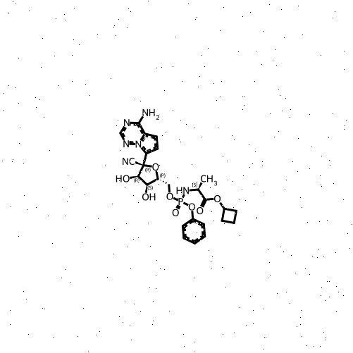 C[C@H](NP(=O)(OC[C@H]1O[C@@](C#N)(c2ccc3c(N)ncnn23)[C@H](O)[C@@H]1O)Oc1ccccc1)C(=O)OC1CCC1